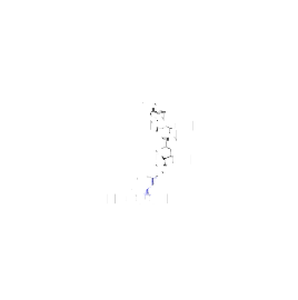 C=C/C(=C\C=C(/C)OCC)CNC(=O)c1ncc(-c2nc(C)cc(Nc3cc(C)[nH]n3)n2)cc1C